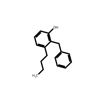 CCCCc1cccc(O)c1Cc1ccccc1